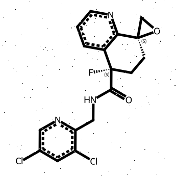 O=C(NCc1ncc(Cl)cc1Cl)[C@]1(F)CC[C@@]2(CO2)c2ncccc21